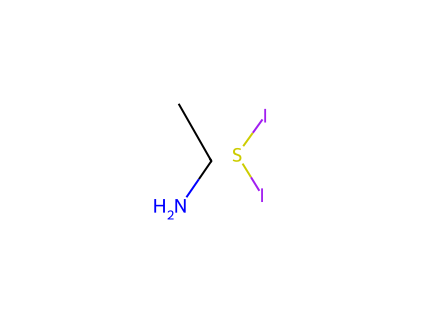 CCN.ISI